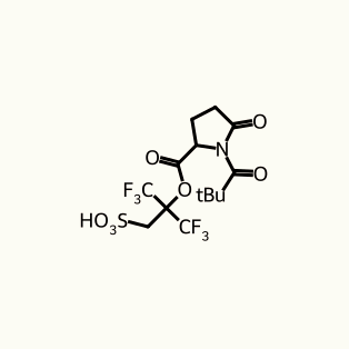 CC(C)(C)C(=O)N1C(=O)CCC1C(=O)OC(CS(=O)(=O)O)(C(F)(F)F)C(F)(F)F